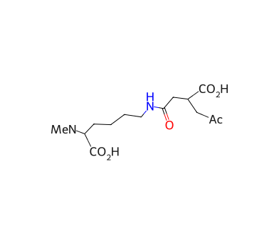 CNC(CCCCNC(=O)CC(CC(C)=O)C(=O)O)C(=O)O